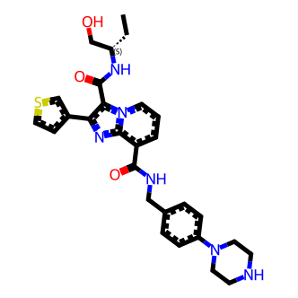 CC[C@@H](CO)NC(=O)c1c(-c2ccsc2)nc2c(C(=O)NCc3ccc(N4CCNCC4)cc3)cccn12